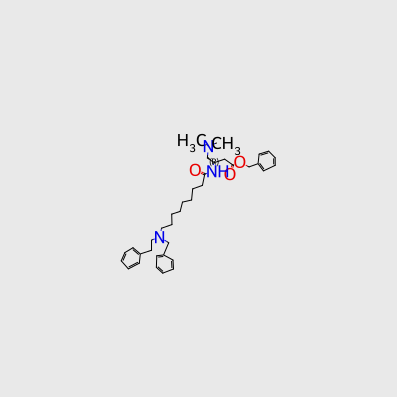 CN(C)C[C@@H](CC(=O)OCc1ccccc1)NC(=O)CCCCCCCCN(CCc1ccccc1)Cc1ccccc1